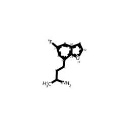 CC(N)CCc1cc(F)cc2ccoc12